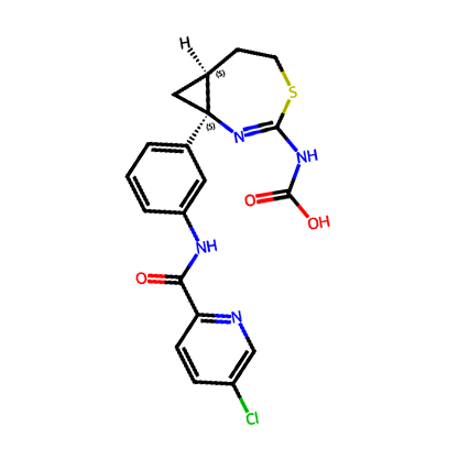 O=C(O)NC1=N[C@@]2(c3cccc(NC(=O)c4ccc(Cl)cn4)c3)C[C@H]2CCS1